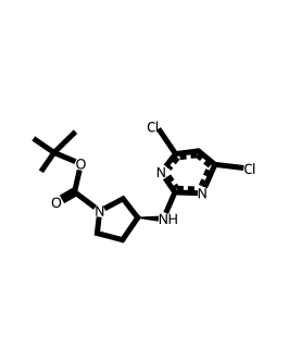 CC(C)(C)OC(=O)N1CC[C@H](Nc2nc(Cl)cc(Cl)n2)C1